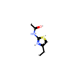 [CH2]Cc1csc(NC(C)=O)n1